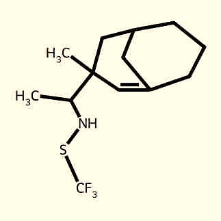 CC(NSC(F)(F)F)C1(C)C=C2CCCC(C2)C1